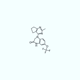 Cc1nc2c(c(N3CC(=O)Nc4cc(OC(F)(F)F)ccc43)n1)CCC2